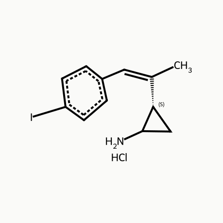 CC(=Cc1ccc(I)cc1)[C@@H]1CC1N.Cl